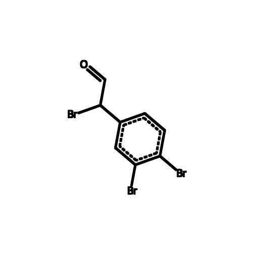 O=CC(Br)c1ccc(Br)c(Br)c1